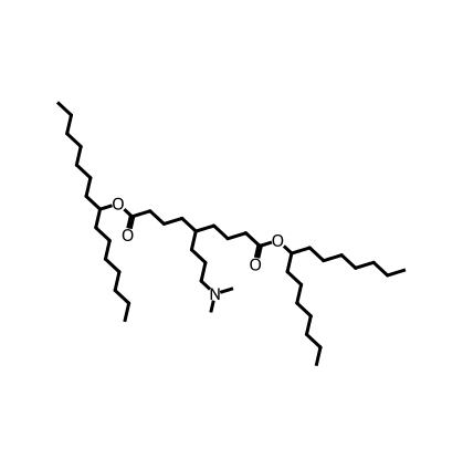 CCCCCCCC(CCCCCCC)OC(=O)CCCC(CCCC(=O)OC(CCCCCCC)CCCCCCC)CCCN(C)C